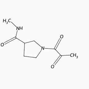 CNC(=O)C1CCN(C(=O)C(C)=O)C1